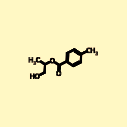 Cc1ccc(C(=O)OC(C)CO)cc1